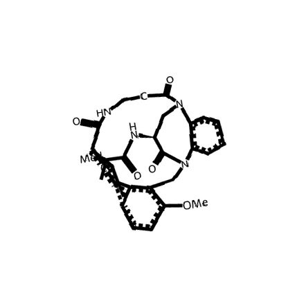 CN[C@@H](C)C(=O)N[C@H]1CN2C(=O)CCNC(=O)c3ccc4c(c(OC)ccc4c3)CN(C1=O)c1ccccc12